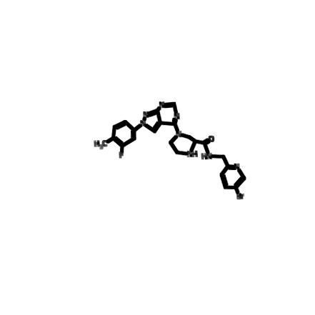 Cc1ccc(-n2cc3c(N4CCNC(C(=O)NCc5ccc(Br)cn5)C4)ncnc3n2)cc1F